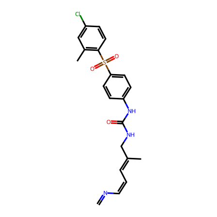 C=N/C=C\C=C(/C)CNC(=O)Nc1ccc(S(=O)(=O)c2ccc(Cl)cc2C)cc1